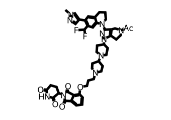 CC(=O)N1CCc2c(c(N3CCCc4cc(-c5cnn(C)c5)c(C(F)F)cc43)nn2C2CCN(C3CCN(CCCOc4cccc5c4C(=O)N(C4CCC(=O)NC4=O)C5=O)CC3)CC2)C1